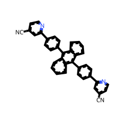 N#Cc1ccnc(-c2ccc(-c3c4ccccc4c(-c4ccc(-c5cc(C#N)ccn5)cc4)c4ccccc34)cc2)c1